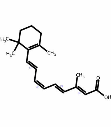 CC1=C(/C=C/C=C\C=C\C(C)=C\C(=O)O)C(C)(C)CCC1